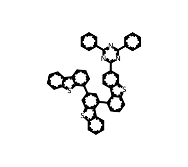 c1ccc(-c2nc(-c3ccccc3)nc(-c3ccc4c(c3)sc3cccc(-c5cc(-c6cccc7c6sc6ccccc67)cc6sc7ccccc7c56)c34)n2)cc1